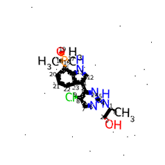 C[C@@H](CO)Nc1ncc(Cl)c(-c2c[nH]c3c(P(C)(C)=O)cccc23)n1